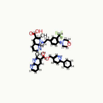 CC1=C(C(=O)O)C=C2C=CC=N[C@@H]2N1CCc1ccc(N2CCOCC2)c(C(F)(F)F)c1.Cc1nc2ncccc2cc1C(=O)OCc1ccc(C2CCCCC2)nc1